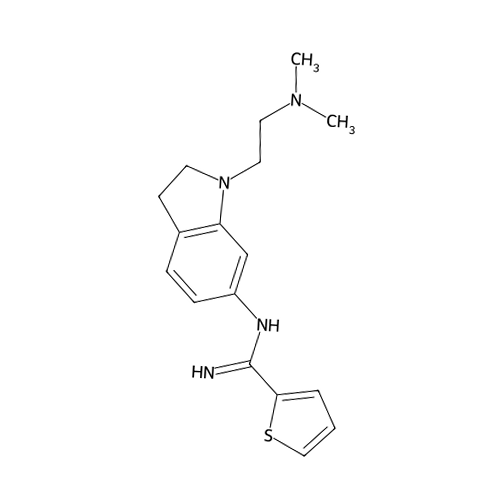 CN(C)CCN1CCc2ccc(NC(=N)c3cccs3)cc21